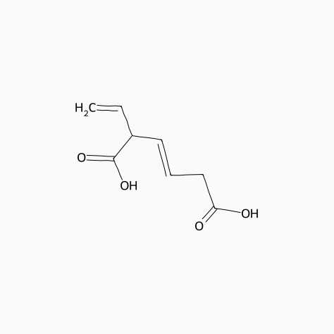 C=CC(C=CCC(=O)O)C(=O)O